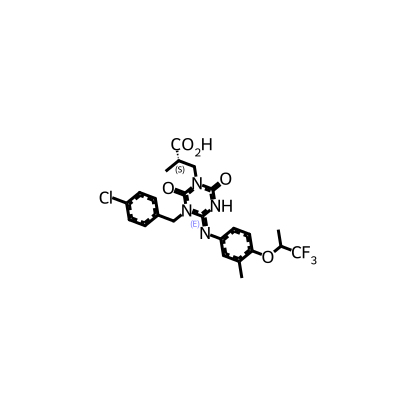 Cc1cc(/N=c2\[nH]c(=O)n(C[C@H](C)C(=O)O)c(=O)n2Cc2ccc(Cl)cc2)ccc1OC(C)C(F)(F)F